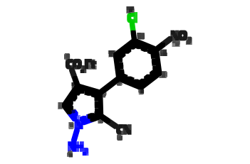 CCOC(=O)c1cn(N)c(C#N)c1-c1ccc([N+](=O)[O-])c(Cl)c1